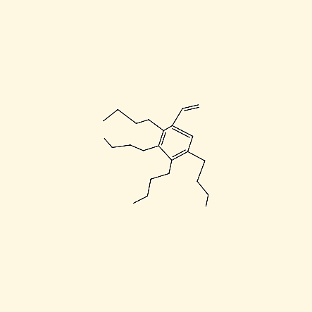 C=Cc1cc(CCCC)c(CCCC)c(CCCC)c1CCCC